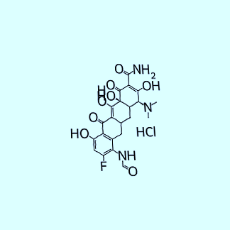 CN(C)[C@@H]1C(O)=C(C(N)=O)C(=O)[C@@]2(O)C(O)=C3C(=O)c4c(O)cc(F)c(NC=O)c4CC3CC12.Cl